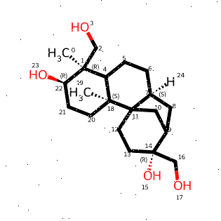 C[C@]1(CO)C2CC[C@H]3CC4CC3(CC[C@]4(O)CO)[C@@]2(C)CC[C@H]1O